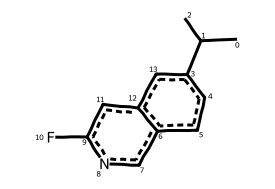 CC(C)c1ccc2cnc(F)cc2c1